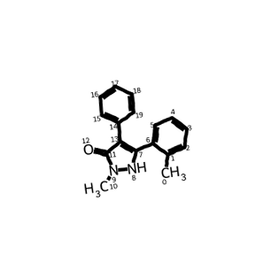 Cc1ccccc1-c1[nH]n(C)c(=O)c1-c1ccccc1